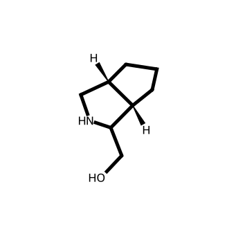 OCC1NC[C@@H]2CCC[C@H]12